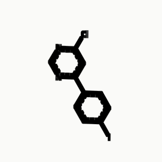 Clc1cc(-c2ccc(I)cc2)ncn1